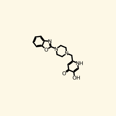 O=c1cc(CN2CCN(c3nc4ccccc4o3)CC2)[nH]cc1O